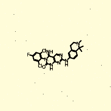 CN1CCc2cc(Nc3ncc4c(=N)n(-c5c(Cl)cc(F)cc5Cl)c(=O)[nH]c4n3)ccc2C1(C)C